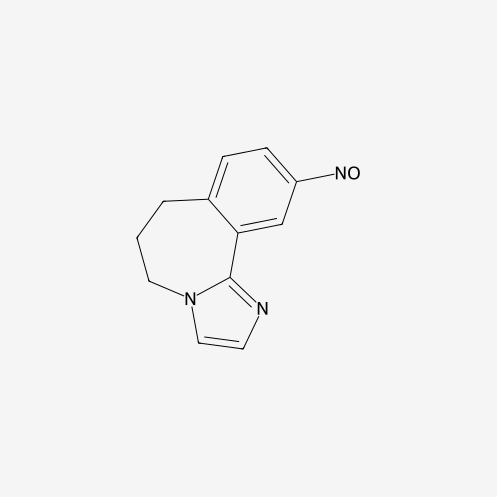 O=Nc1ccc2c(c1)-c1nccn1CCC2